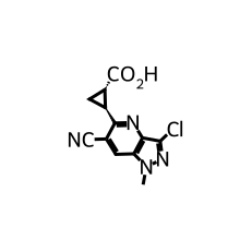 Cn1nc(Cl)c2nc([C@H]3C[C@@H]3C(=O)O)c(C#N)cc21